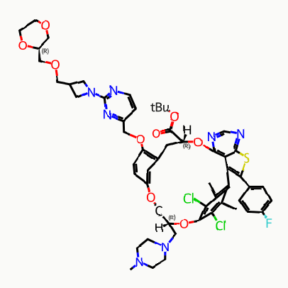 Cc1c(Cl)c2c(Cl)c(C)c1-c1c(-c3ccc(F)cc3)sc3ncnc(c13)O[C@@H](C(=O)OC(C)(C)C)Cc1cc(ccc1OCc1ccnc(N3CC(COC[C@@H]4COCCO4)C3)n1)OC[C@@H](CN1CCN(C)CC1)O2